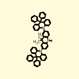 CC1(C)c2cc(N3c4ccccc4C(c4ccccc4)(c4ccccc4)c4ccccc43)ccc2N(I)c2ccc(N3c4ccccc4C(c4ccccc4)(c4ccccc4)c4ccccc43)cc21